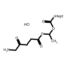 CCCCCCCC(=O)OC(C)OC(=O)CCC(=O)CN.Cl